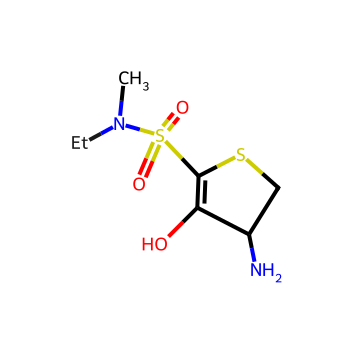 CCN(C)S(=O)(=O)C1=C(O)C(N)CS1